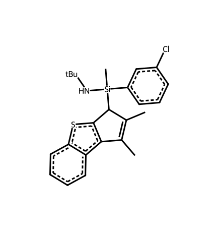 CC1=C(C)C([Si](C)(NC(C)(C)C)c2cccc(Cl)c2)c2sc3ccccc3c21